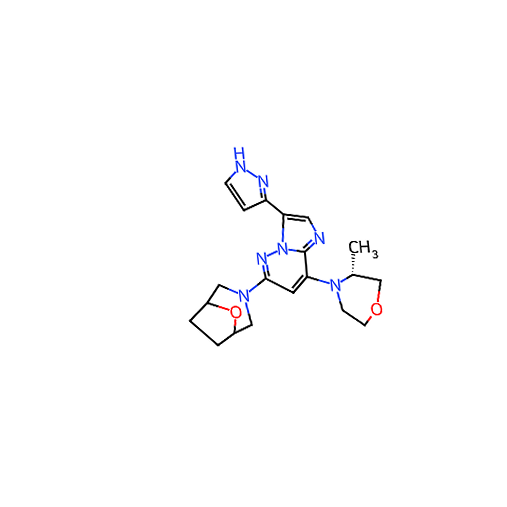 C[C@@H]1COCCN1c1cc(N2CC3CCC(C2)O3)nn2c(-c3cc[nH]n3)cnc12